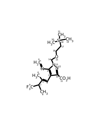 C=Nc1c(/C=C(\C)C(C)C(F)(F)F)c(C(=O)O)nn1COCC[Si](C)(C)C